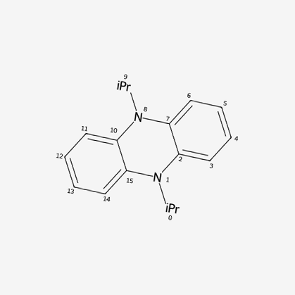 CC(C)N1c2ccccc2N(C(C)C)c2ccccc21